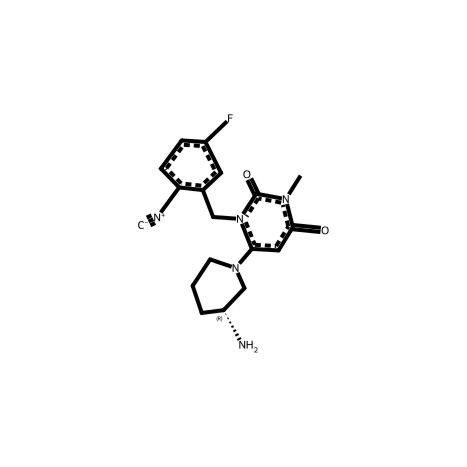 [C-]#[N+]c1ccc(F)cc1Cn1c(N2CCC[C@@H](N)C2)cc(=O)n(C)c1=O